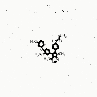 C=CC(=O)Nc1ccc(-c2c(-c3ccc(Oc4cccc(C)c4)c(OC)c3)c3c(N)ncnc3n2C)cc1